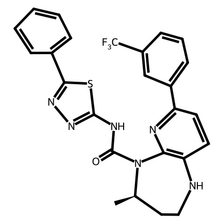 C[C@@H]1CCNc2ccc(-c3cccc(C(F)(F)F)c3)nc2N1C(=O)Nc1nnc(-c2ccccc2)s1